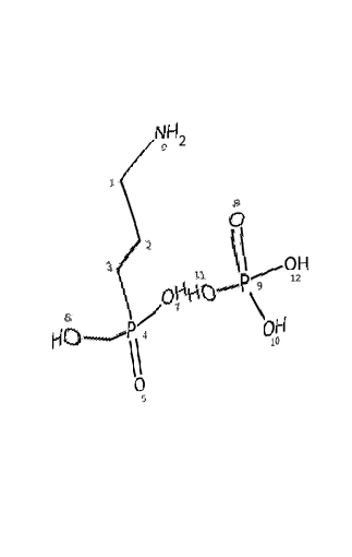 NCCCP(=O)(O)O.O=P(O)(O)O